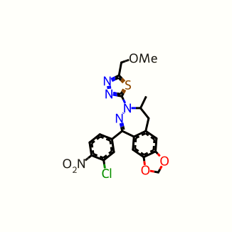 COCc1nnc(N2N=C(c3ccc([N+](=O)[O-])c(Cl)c3)c3cc4c(cc3CC2C)OCO4)s1